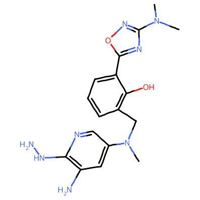 CN(C)c1noc(-c2cccc(CN(C)c3cnc(NN)c(N)c3)c2O)n1